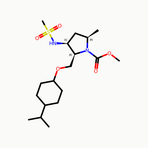 COC(=O)N1[C@H](C)C[C@H](NS(C)(=O)=O)[C@@H]1COC1CCC(C(C)C)CC1